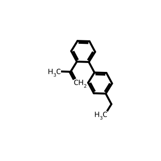 C=C(C)c1ccccc1-c1ccc(CC)cc1